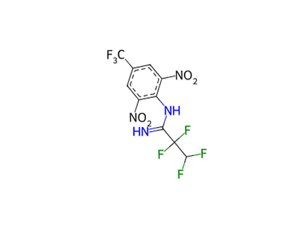 N=C(Nc1c([N+](=O)[O-])cc(C(F)(F)F)cc1[N+](=O)[O-])C(F)(F)C(F)F